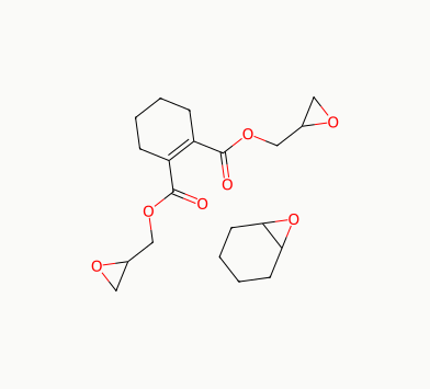 C1CCC2OC2C1.O=C(OCC1CO1)C1=C(C(=O)OCC2CO2)CCCC1